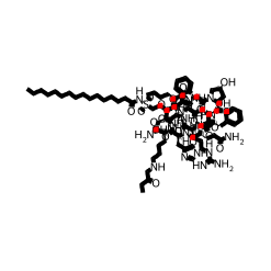 CCCCCCCCCCCCCCCC(=O)NS(=O)(=O)CCCC(=O)NCC(=O)N[C@@H](CO)C(=O)N[C@H](CCC(N)=O)C(=O)N[C@@H](Cc1c[nH]cn1)C(=O)N[C@@H](CO)C(=O)N[C@@H](CCCC)C(=O)NCC(=O)N1C[C@H](O)C[C@H]1C(=O)N[C@H](Cc1ccccc1)C(=O)N[C@@H](CCCNC(=N)N)C(=O)N[C@@H](Cc1c[nH]c2ccccc12)C(=O)N[C@@H](CCCCNCC(=O)CC)C(N)=O